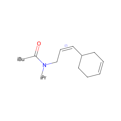 CCC(C)C(=O)N(C/C=C\C1CC=CCC1)C(C)C